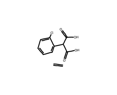 C=C.O=C(O)C(C(=O)O)c1ccccc1Cl